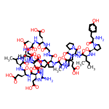 CC[C@H](C)[C@H](NC(=O)[C@@H]1CCCN1C(=O)[C@@H](N)Cc1ccc(O)cc1)C(=O)N[C@@H](CCCCN)C(=O)N1CCC[C@H]1C(=O)N[C@@H](CCC(=O)O)C(=O)N[C@@H](C)C(=O)N1CCC[C@H]1C(=O)NCC(=O)N[C@@H](CCC(=O)O)C(=O)N[C@@H](CC(=O)O)C(=O)N[C@@H](C)C(=O)N[C@@H](CO)C(=O)N1CCC[C@H]1C(=O)N[C@@H](CCC(=O)O)C(=O)N[C@@H](CCC(=O)O)C(=O)N[C@@H](CC(C)C)C(=O)N[C@@H](CO)C(=O)N[C@@H](CCCNC(=N)N)C(=O)O